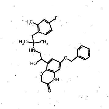 Cc1cc(F)ccc1CC(C)(C)NCC(O)c1cc(OCc2ccccc2)cc2c1OCC(=O)N2